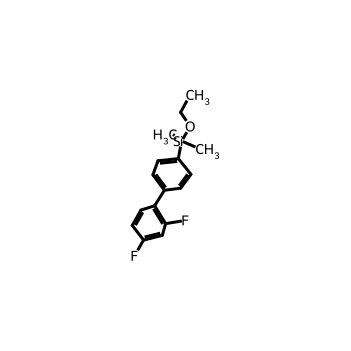 CCO[Si](C)(C)c1ccc(-c2ccc(F)cc2F)cc1